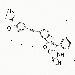 O=C(Nc1nccs1)C(c1ccccc1)N1Cc2ccc(C#Cc3ccc(C(=O)N4CCOCC4)nc3)cc2C1=O